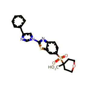 O=C(O)C1(S(=O)(=O)c2ccc3nc(-n4cnc(-c5ccccc5)c4)sc3c2)CCOCC1